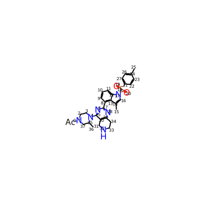 CC(=O)N1CCN(c2nc(-c3cccc4c3c(C)cn4S(=O)(=O)c3ccc(C)cc3)nc3c2CNCC3)C(C)C1